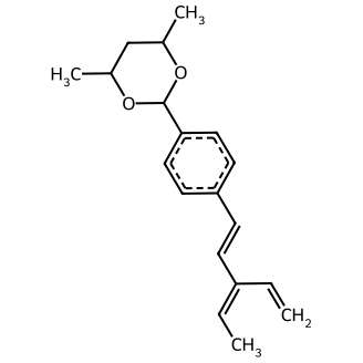 C=CC(/C=C/c1ccc(C2OC(C)CC(C)O2)cc1)=C\C